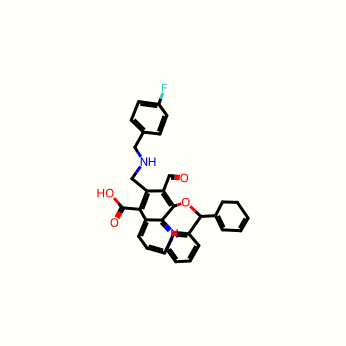 O=Cc1c(CNCc2ccc(F)cc2)c(C(=O)O)c2cccnc2c1OC(C1=CC=CCC1)c1ccccc1